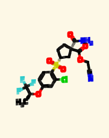 C[C@H](Oc1ccc(S(=O)(=O)[C@@H]2CC[C@@](C(N)=O)(C(=O)OCC#N)C2)c(Cl)c1)C(F)(F)F